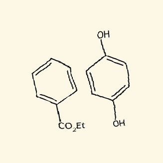 CCOC(=O)c1ccccc1.Oc1ccc(O)cc1